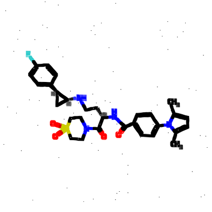 Cc1ccc(C)n1-c1ccc(C(=O)N[C@@H](CCN[C@@H]2C[C@H]2c2ccc(F)cc2)C(=O)N2CCS(=O)(=O)CC2)cc1